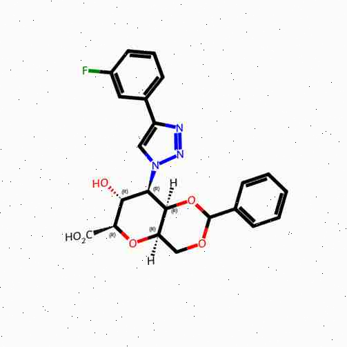 O=C(O)[C@@H]1O[C@@H]2COC(c3ccccc3)O[C@@H]2[C@H](n2cc(-c3cccc(F)c3)nn2)[C@H]1O